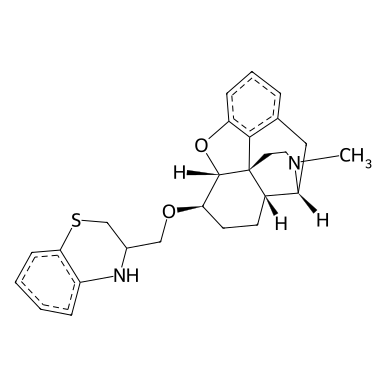 CN1CC[C@]23c4c5cccc4O[C@H]2[C@H](OCC2CSc4ccccc4N2)CC[C@H]3[C@H]1C5